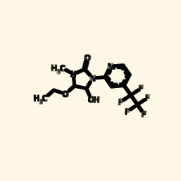 CCOC1C(O)N(c2cc(C(F)(F)C(F)(F)F)ccn2)C(=O)N1C